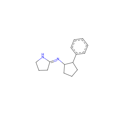 c1ccc(C2CCCC2N=C2CCCN2)cc1